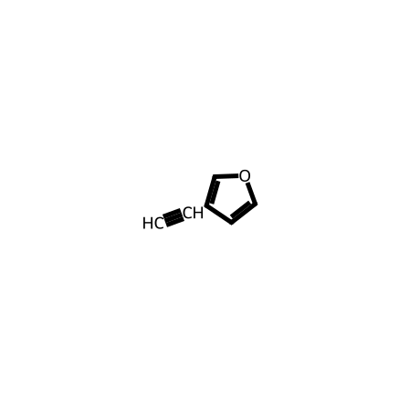 C#C.c1ccoc1